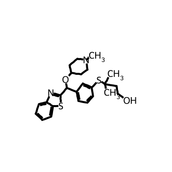 CN1CCC(OC(c2cccc(SC(C)(C)CCO)c2)c2nc3ccccc3s2)CC1